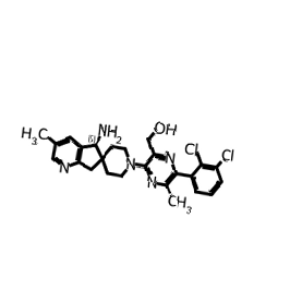 Cc1cnc2c(c1)[C@@H](N)C1(CCN(c3nc(C)c(-c4cccc(Cl)c4Cl)nc3CO)CC1)C2